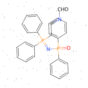 O=C/N=C/CP(=NP(=O)(c1ccccc1)c1ccccc1)(c1ccccc1)c1ccccc1